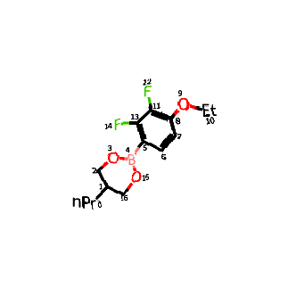 CCCC1COB(c2ccc(OCC)c(F)c2F)OC1